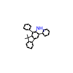 CC1(C)c2ccccc2-c2cc(-c3ccccc3)c(N)c(-c3ccccc3)c21